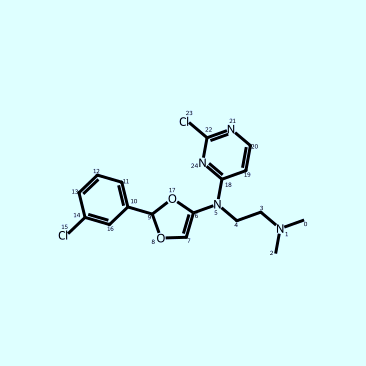 CN(C)CCN(C1=COC(c2cccc(Cl)c2)O1)c1ccnc(Cl)n1